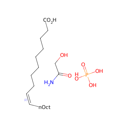 CCCCCCCC/C=C\CCCCCCCC(=O)O.NC(=O)CO.O=P(O)(O)O